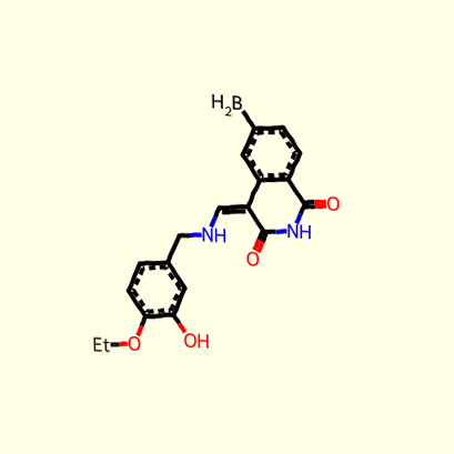 Bc1ccc2c(c1)/C(=C/NCc1ccc(OCC)c(O)c1)C(=O)NC2=O